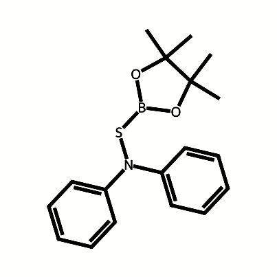 CC1(C)OB(SN(c2ccccc2)c2ccccc2)OC1(C)C